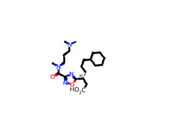 CN(C)CCCN(C)C(=O)c1noc([C@H](CCCC2CCCCC2)CC(=O)O)n1